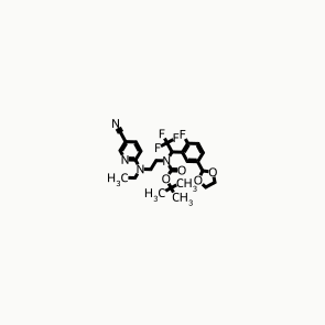 CCN(CCN(C(=O)OC(C)(C)C)C(c1cc(C2OCCO2)ccc1F)C(F)(F)F)c1ccc(C#N)cn1